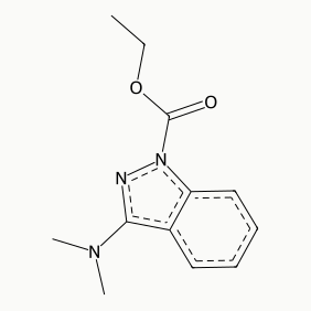 CCOC(=O)n1nc(N(C)C)c2ccccc21